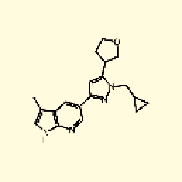 Cc1c[nH]c2ncc(-c3cc(C4CCOC4)n(CC4CC4)n3)cc12